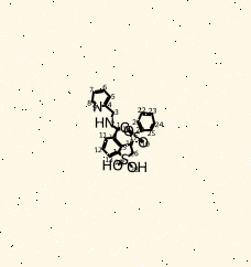 O=C(NCc1ccccn1)c1cccc2c1C(S(=O)(=O)c1ccccc1)CS2(O)O